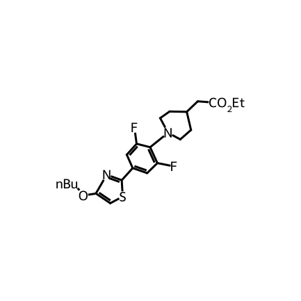 CCCCOc1csc(-c2cc(F)c(N3CCC(CC(=O)OCC)CC3)c(F)c2)n1